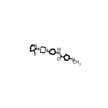 COc1ccc(C(=O)Nc2ccc(N3CCN(c4ncccc4F)CC3)cc2)cc1